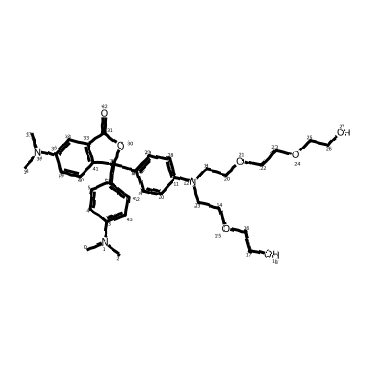 CN(C)c1ccc(C2(c3ccc(N(CCOCCO)CCOCCOCCO)cc3)OC(=O)c3cc(N(C)C)ccc32)cc1